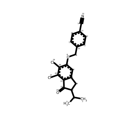 CC(C)C1Cc2cc(OCc3ccc(C#N)cc3)c(Cl)c(Cl)c2C1=O